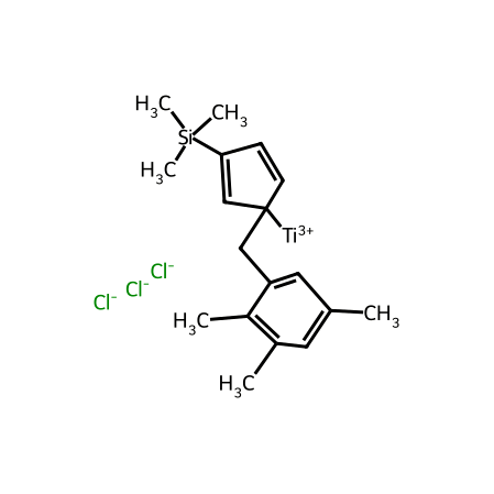 Cc1cc(C)c(C)c(C[C]2([Ti+3])C=CC([Si](C)(C)C)=C2)c1.[Cl-].[Cl-].[Cl-]